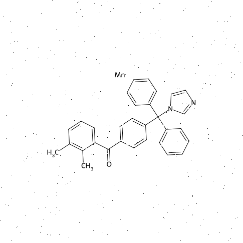 Cc1cccc(C(=O)c2ccc(C(c3ccccc3)(c3ccccc3)n3ccnc3)cc2)c1C.[Mn]